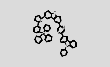 c1ccc(-n2c3ccccc3c3cc(-c4cnc(-c5ccc6oc7ccc(-c8cccc(-c9cccc([Si](c%10ccccc%10)(c%10ccccc%10)c%10ccccc%10)c9)n8)cc7c6c5)cn4)ccc32)cc1